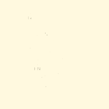 CN1Cc2c([nH]c(=O)c3c(F)cccc23)CC1CBr